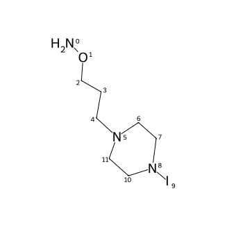 NOCCCN1CCN(I)CC1